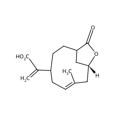 C=C(C(=O)O)C1C/C=C(\C)C[C@@H]2CC(CC1)C(=O)O2